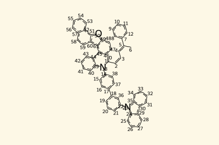 C=C(/C=C\C=C(/C)c1ccccc1)N(c1ccc(-c2cccc(-n3c4ccccc4c4ccccc43)c2)cc1)c1ccccc1-c1cccc2oc3c4ccccc4ccc3c12